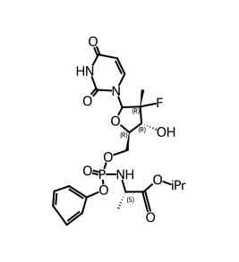 CC(C)OC(=O)[C@H](C)NP(=O)(OC[C@H]1OC(n2ccc(=O)[nH]c2=O)[C@](C)(F)[C@@H]1O)Oc1ccccc1